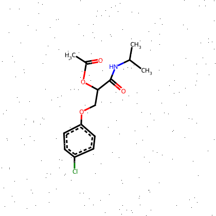 CC(=O)OC(COc1ccc(Cl)cc1)C(=O)NC(C)C